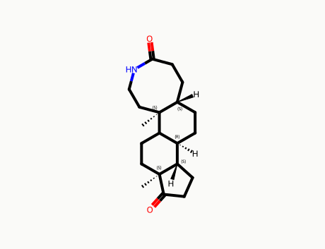 C[C@]12CCC3[C@@H](CC[C@H]4CCC(=O)NCC[C@]34C)[C@@H]1CCC2=O